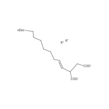 CCCCCCCCCCCCCCCC/C=C/C(CC(=O)[O-])C(=O)[O-].[K+].[K+]